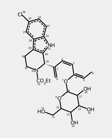 C=C(/C=C\C(=C/C)OC1OC(CO)C(O)C(O)C1O)[C@H]1c2[nH]c3ccc(Cl)cc3c2CCN1C(=O)OCC